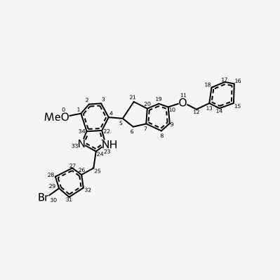 COc1ccc(C2Cc3ccc(OCc4ccccc4)cc3C2)c2[nH]c(Cc3ccc(Br)cc3)nc12